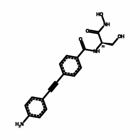 Nc1ccc(C#Cc2ccc(C(=O)N[C@H](CO)C(=O)NO)cc2)cc1